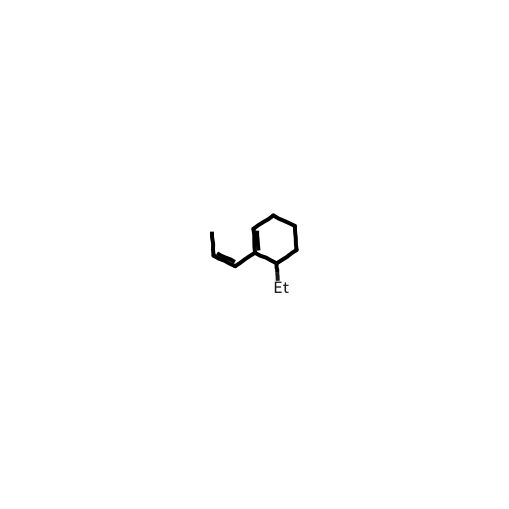 C/C=C\C1=CCCCC1CC